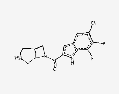 O=C(c1cc2cc(Cl)c(F)c(F)c2[nH]1)N1CC2CNCC21